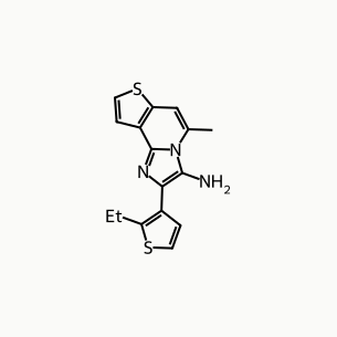 CCc1sccc1-c1nc2c3ccsc3cc(C)n2c1N